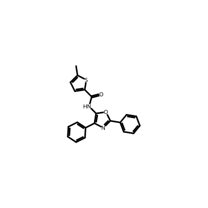 Cc1ccc(C(=O)Nc2oc(-c3ccccc3)nc2-c2ccccc2)s1